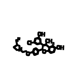 CC1=C(c2cc(O)cc(Cl)c2)C(c2ccc(OCCN3CCC(CF)C3)cc2)Oc2ccc(O)cc21